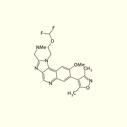 CNCc1nc2cnc3cc(-c4c(C)noc4C)c(OC)cc3c2n1CCOC(F)F